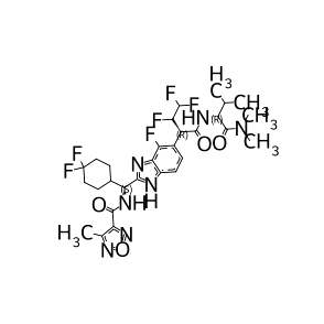 Cc1nonc1C(=O)N[C@H](c1nc2c(F)c([C@H](C(=O)N[C@@H](C(=O)N(C)C)C(C)C)C(F)C(F)F)ccc2[nH]1)C1CCC(F)(F)CC1